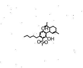 C=C(C)C1CCC(C)=CC1c1c(O)cc(CCCCC)c(S(C)(=O)=O)c1O